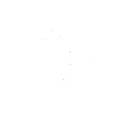 CC(C)(C)C1C(O)=C(C2=NS(=O)(=O)c3ccccc32)C(=O)N1Cc1ccc(F)c(Cl)c1